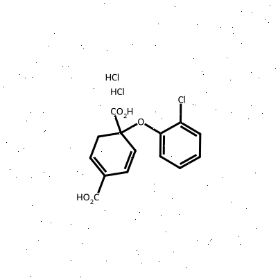 Cl.Cl.O=C(O)C1=CCC(Oc2ccccc2Cl)(C(=O)O)C=C1